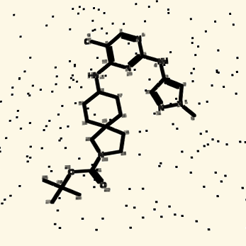 Cn1cc(Nc2ncc(Cl)c(NC3CCC4(CC3)CCN(C(=O)OC(C)(C)C)C4)n2)cn1